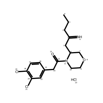 CCCC(=N)CC1COCCN1C(=O)Cc1ccc(Cl)c(Cl)c1.Cl